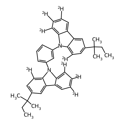 [2H]c1cc2c3cc(C(C)(C)CC)cc([2H])c3n(-c3cccc(-n4c5c([2H])cc(C(C)(C)CC)cc5c5cc([2H])c([2H])c([2H])c54)c3)c2c([2H])c1[2H]